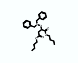 CCCCOC(=O)CC(ON(Cc1ccccc1)Cc1ccccc1)C(=O)OCCCC